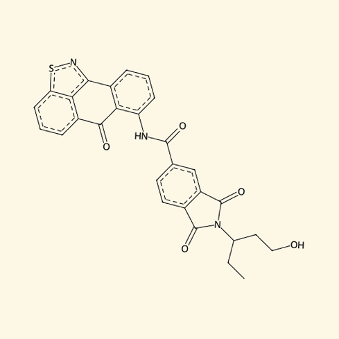 CCC(CCO)N1C(=O)c2ccc(C(=O)Nc3cccc4c3C(=O)c3cccc5snc-4c35)cc2C1=O